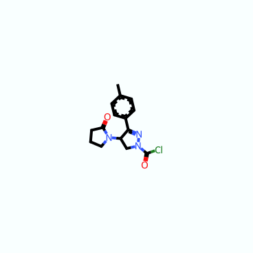 Cc1ccc(C2=NN(C(=O)Cl)CC2N2CCCC2=O)cc1